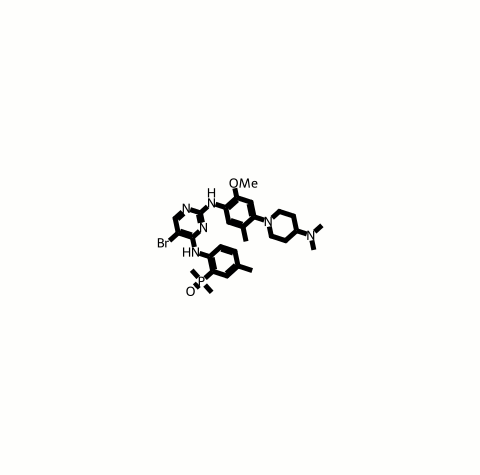 COc1cc(N2CCC(N(C)C)CC2)c(C)cc1Nc1ncc(Br)c(Nc2ccc(C)cc2P(C)(C)=O)n1